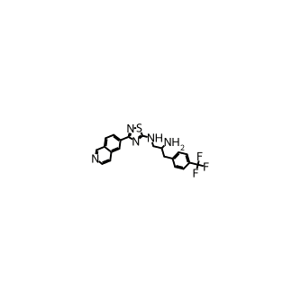 NC(CNc1nc(-c2ccc3cnccc3c2)ns1)Cc1ccc(C(F)(F)F)cc1